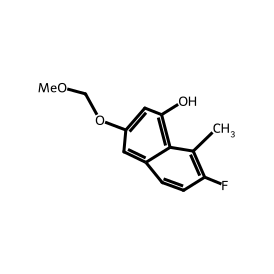 COCOc1cc(O)c2c(C)c(F)ccc2c1